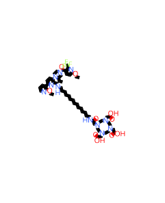 CCOc1ccc(C(=O)N2CCN(c3ccc(-c4cccnc4OCC)nc3CNCCCCCCCCCCCCCCCNC(=O)CN3CCN(CC(=O)O)CCN(CC(=O)O)CCN(CC(=O)O)CC3)C(CC)C2)c(C(F)(F)F)n1